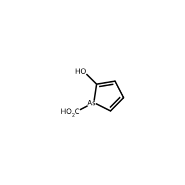 O=C(O)[As]1C=CC=C1O